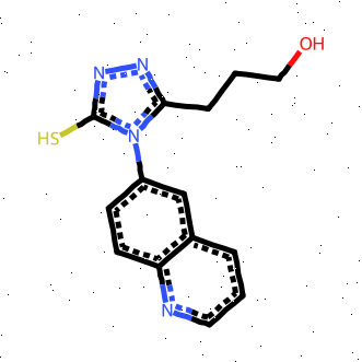 OCCCc1nnc(S)n1-c1ccc2ncccc2c1